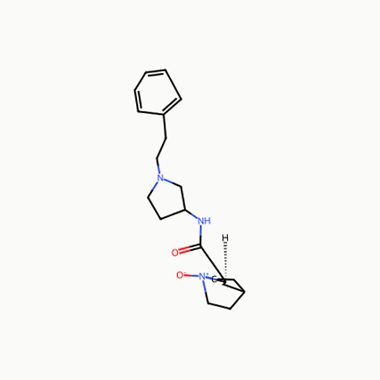 O=C(NC1CCN(CCc2ccccc2)C1)[C@@H]1CC2CC[N+]1([O-])CC2